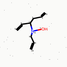 C=CCC(C=C)N(O)CC=C